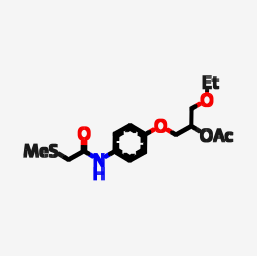 CCOCC(COc1ccc(NC(=O)CSC)cc1)OC(C)=O